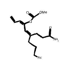 C=C/C=C(\C=C(\CCCC(C)=O)CCC(N)=O)OC(=O)OC